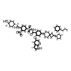 CCCc1ccccc1[C@@H]1CCCN1C1CC2(CCN(c3ccc(C(=O)NS(=O)(=O)c4ccc(NC[C@H]5CC[C@](C)(O)CC5)c([N+](=O)[O-])c4)c(Oc4cnc5[nH]ccc5c4)c3)CC2)C1